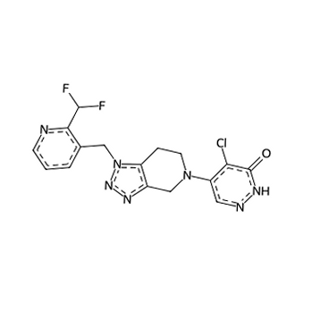 O=c1[nH]ncc(N2CCc3c(nnn3Cc3cccnc3C(F)F)C2)c1Cl